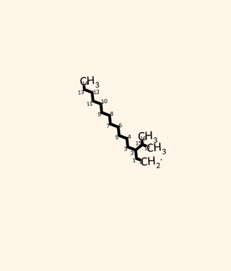 [CH2]CC(CCCCCCCCCCCC)C(C)C